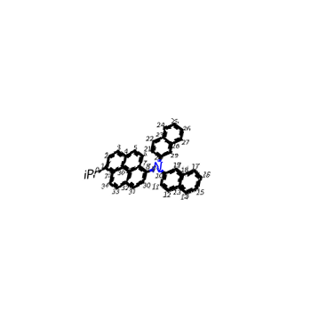 CC(C)c1ccc2ccc3c(N(c4ccc5ccccc5c4)c4ccc5ccccc5c4)ccc4ccc1c2c43